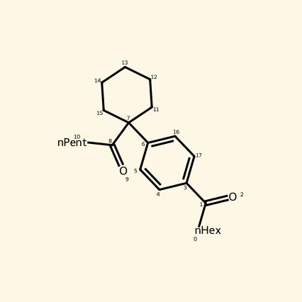 CCCCCCC(=O)c1ccc(C2(C(=O)CCCCC)CCCCC2)cc1